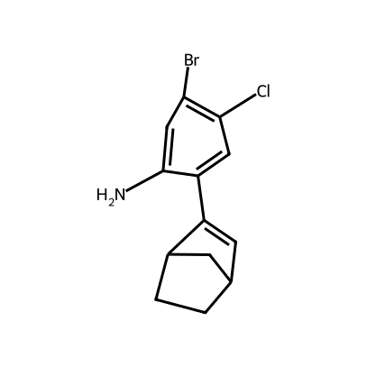 Nc1cc(Br)c(Cl)cc1C1=CC2CCC1C2